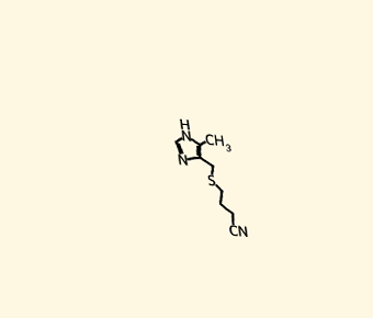 Cc1[nH]cnc1CSCCCC#N